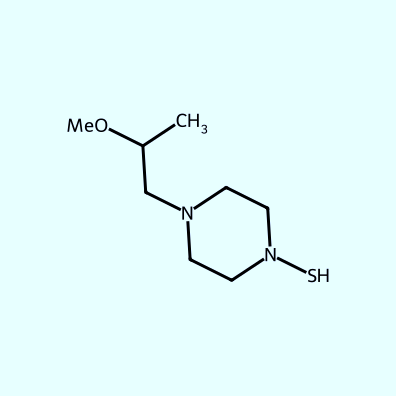 COC(C)CN1CCN(S)CC1